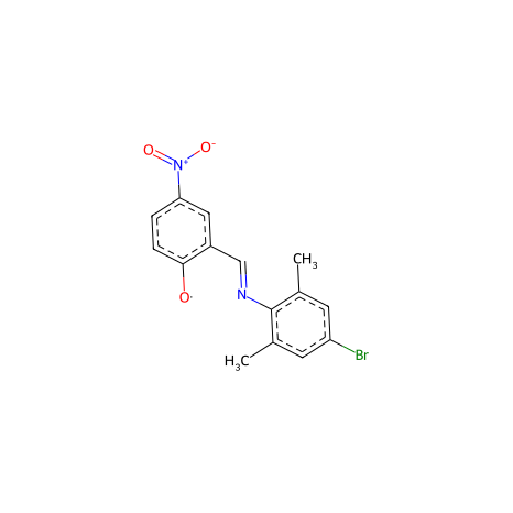 Cc1cc(Br)cc(C)c1N=Cc1cc([N+](=O)[O-])ccc1[O]